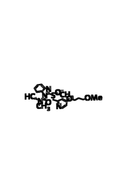 C#CN(C)C(=O)n1c([S+]([O-])Cc2nccc(OCCCOC)c2C)nc2ccccc21